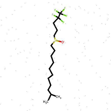 CC(C)CCCCCCCCC[S+]([O-])CCCC(F)(F)C(F)(F)F